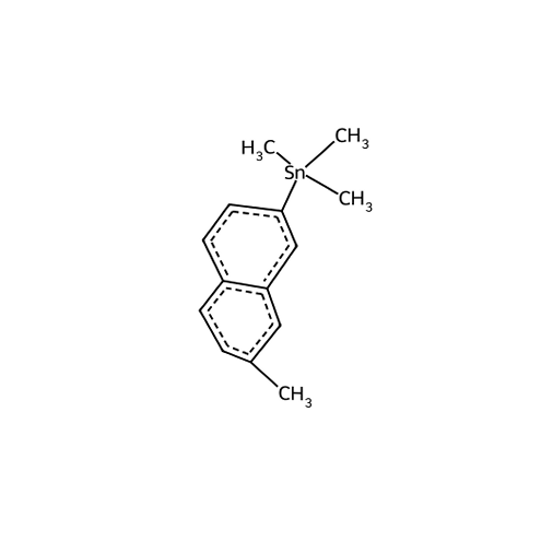 Cc1ccc2cc[c]([Sn]([CH3])([CH3])[CH3])cc2c1